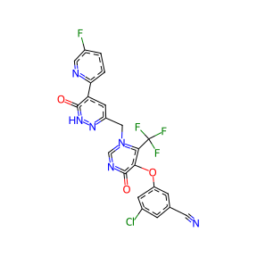 N#Cc1cc(Cl)cc(Oc2c(C(F)(F)F)n(Cc3cc(-c4ccc(F)cn4)c(=O)[nH]n3)cnc2=O)c1